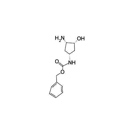 N[C@H]1C[C@@H](NC(=O)OCc2ccccc2)C[C@H]1O